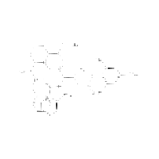 COc1cc(C(C)(C)C)c(OC(=O)CC(C)C(C(=O)ON2C(C(=O)OC(C)(C)C)CCCN2C(=O)OCc2ccccc2)N2C(=O)c3ccccc3C2=O)c(C(C)(C)C)c1